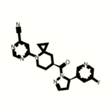 N#Cc1cc(N2CC[C@H](C(=O)N3N=CC[C@@H]3c3cncc(F)c3)CC23CC3)ncn1